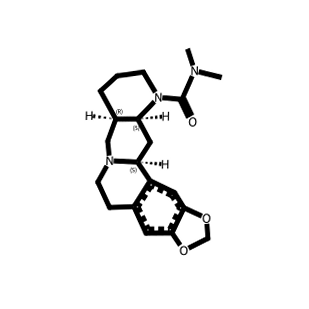 CN(C)C(=O)N1CCC[C@@H]2CN3CCc4cc5c(cc4[C@@H]3C[C@@H]21)OCO5